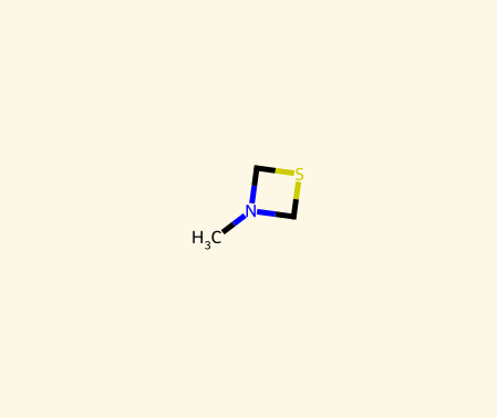 CN1CSC1